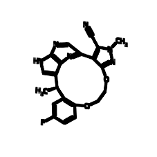 C[C@@H]1c2cc(F)ccc2OCCOc2nn(C)c(C#N)c2-c2cnc3[nH]cc1c3n2